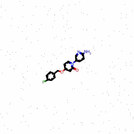 Nc1ccc(-n2ccc(OCc3ccc(F)cc3)cc2=O)cn1